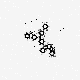 CC1(C)c2ccccc2-c2ccc(N(c3ccc(-c4ccccc4)cc3)c3ccc(-n4c5ccccc5c5c6c(ccc54)oc4ccccc46)cc3)cc21